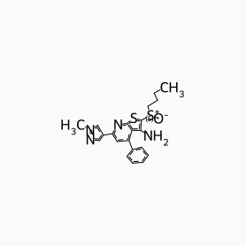 CCCC[S@@+]([O-])c1sc2nc(-c3cnn(C)c3)cc(-c3ccccc3)c2c1N